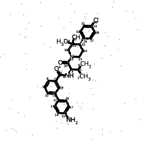 CC(C)[C@@H](NC(=O)c1cccc(-c2ccc(N)cc2)c1)C(=O)N1CC[C@H](c2ccc(Cl)cc2)C(C)(C)C1